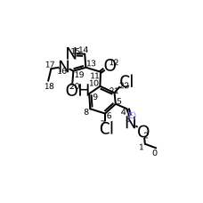 CCO/N=C/c1c(Cl)ccc(C(=O)c2cnn(CC)c2O)c1Cl